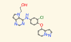 OCCn1ccc2ncnc(Nc3ccc(Oc4cccn5nccc45)c(Cl)c3)c21